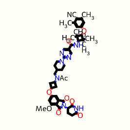 COc1cc(OC2CC(N(CC3CCN(c4ncc(C(=O)NC5C(C)(C)C(Oc6cc(C)c(C#N)c(C)c6)C5(C)C)cn4)CC3)C(C)=O)C2)cc2c1C(=O)N([C@@H]1CCC(=O)NC1=O)C2=O